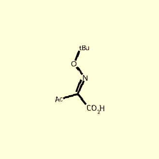 CC(=O)/C(=N\OC(C)(C)C)C(=O)O